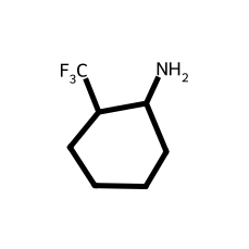 NC1CCCCC1C(F)(F)F